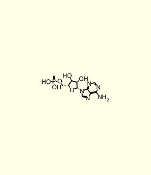 C=P(O)(O)OC[C@H]1O[C@@H](n2cnc3c(N)ncnc32)[C@H](O)[C@@H]1O